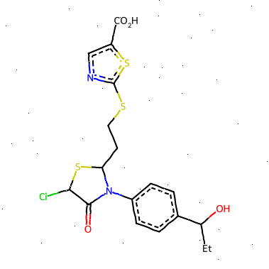 CCC(O)c1ccc(N2C(=O)C(Cl)SC2CCSc2ncc(C(=O)O)s2)cc1